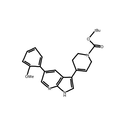 COc1ccccc1-c1cnc2[nH]cc(C3=CCN(C(=O)OC(C)(C)C)CC3)c2c1